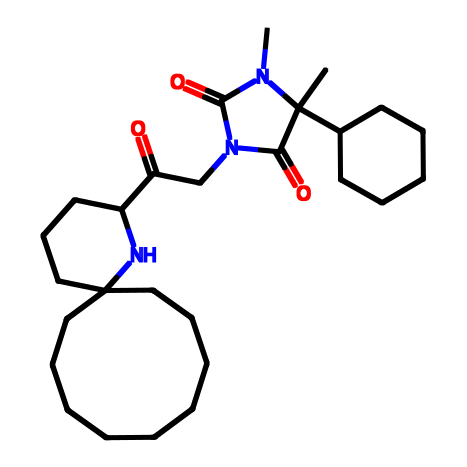 CN1C(=O)N(CC(=O)C2CCCC3(CCCCCCCCC3)N2)C(=O)C1(C)C1CCCCC1